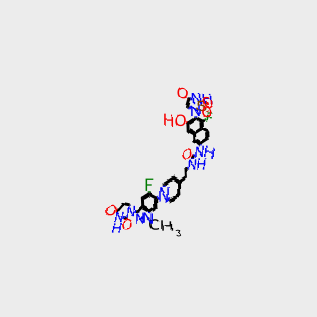 Cn1nc(N2CCC(=O)NC2=O)c2cc(F)c(N3CCC(CCNC(=O)Nc4ccc5c(F)c(N6CC(=O)NS6(=O)=O)c(O)cc5c4)CC3)cc21